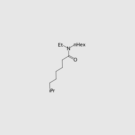 CCCCCCN(CC)C(=O)CCCCCC(C)C